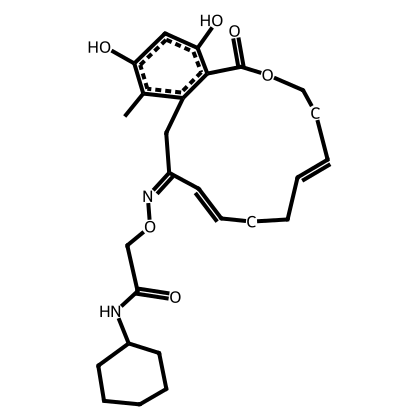 Cc1c(O)cc(O)c2c1CC(=N/OCC(=O)NC1CCCCC1)/C=C/CC/C=C/CCOC2=O